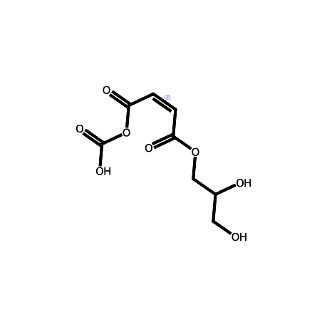 O=C(O)OC(=O)/C=C\C(=O)OCC(O)CO